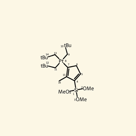 CO[Si](OC)(OC)C1=CC[C]([Pt]([CH2]C(C)(C)C)([CH2]C(C)(C)C)[CH2]C(C)(C)C)=C1C